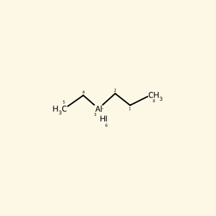 CC[CH2][Al][CH2]C.I